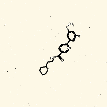 COc1cc(F)cc(-c2ccc(C(=O)NCCC3CCCCO3)cn2)c1